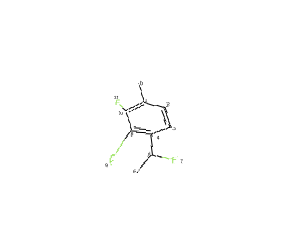 Cc1ccc(C(C)F)c(F)c1F